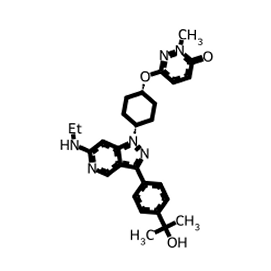 CCNc1cc2c(cn1)c(-c1ccc(C(C)(C)O)cc1)nn2[C@H]1CC[C@@H](Oc2ccc(=O)n(C)n2)CC1